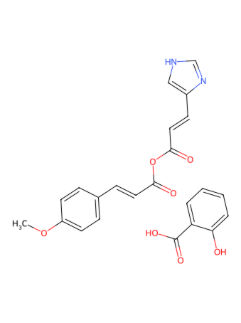 COc1ccc(C=CC(=O)OC(=O)C=Cc2c[nH]cn2)cc1.O=C(O)c1ccccc1O